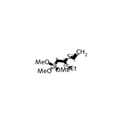 C=CSC(C[Si](OC)(OC)OC)SCC